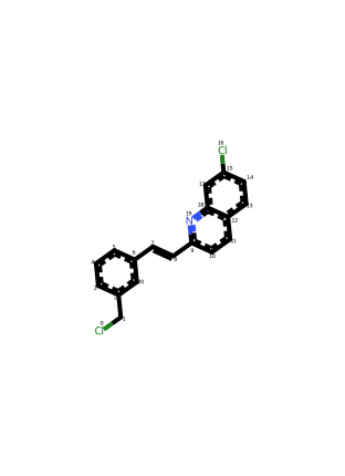 ClCc1cccc(C=Cc2ccc3ccc(Cl)cc3n2)c1